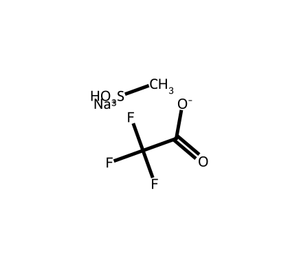 CS(=O)(=O)O.O=C([O-])C(F)(F)F.[Na+]